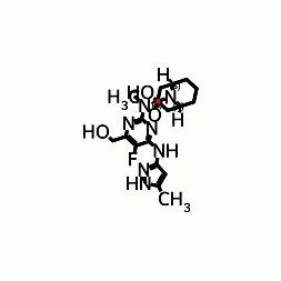 Cc1cc(Nc2nc(N(C)[C@H]3C[C@H]4CCC[C@@H](C3)N4C(=O)O)nc(CO)c2F)n[nH]1